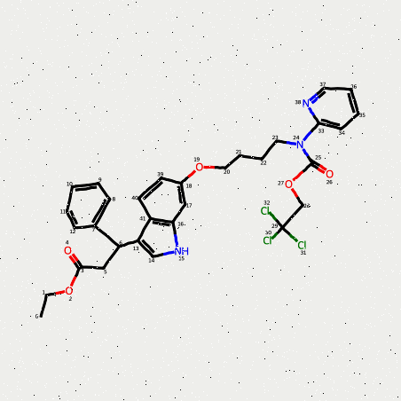 CCOC(=O)CC(c1ccccc1)c1c[nH]c2cc(OCCCCN(C(=O)OCC(Cl)(Cl)Cl)c3ccccn3)ccc12